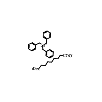 CCCCCCCCCCCCCCCCCC(=O)[O-].c1ccc([CH2][Sn+]([CH2]c2ccccc2)[CH2]c2ccccc2)cc1